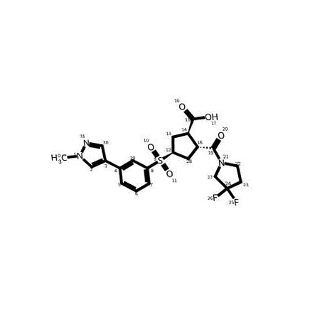 Cn1cc(-c2cccc(S(=O)(=O)[C@H]3C[C@@H](C(=O)O)[C@H](C(=O)N4CCC(F)(F)C4)C3)c2)cn1